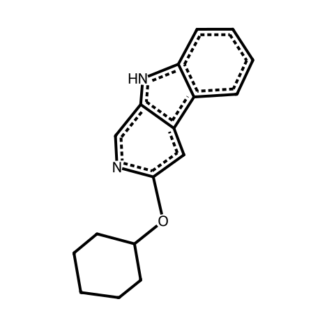 c1ccc2c(c1)[nH]c1cnc(OC3CCCCC3)cc12